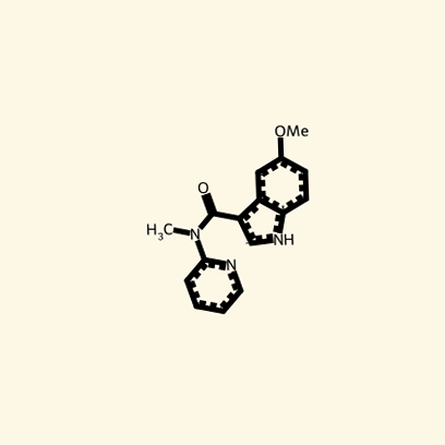 COc1ccc2[nH][c]c(C(=O)N(C)c3ccccn3)c2c1